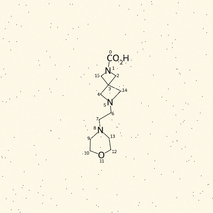 O=C(O)N1CC2(CN(CCN3CCOCC3)C2)C1